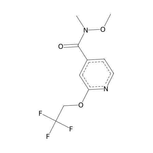 CON(C)C(=O)c1ccnc(OCC(F)(F)F)c1